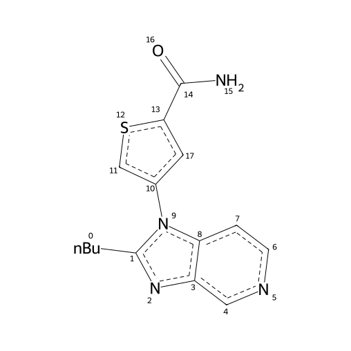 CCCCc1nc2cnccc2n1-c1csc(C(N)=O)c1